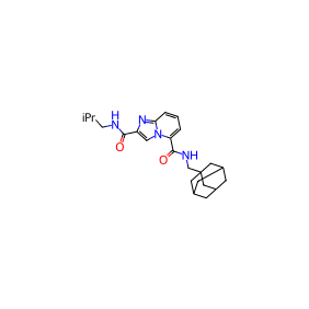 CC(C)CNC(=O)c1cn2c(C(=O)NCC34CC5CC(CC(C5)C3)C4)cccc2n1